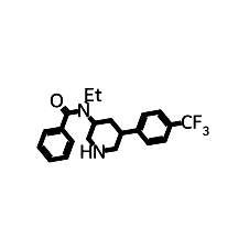 CCN(C(=O)c1ccccc1)C1CNCC(c2ccc(C(F)(F)F)cc2)C1